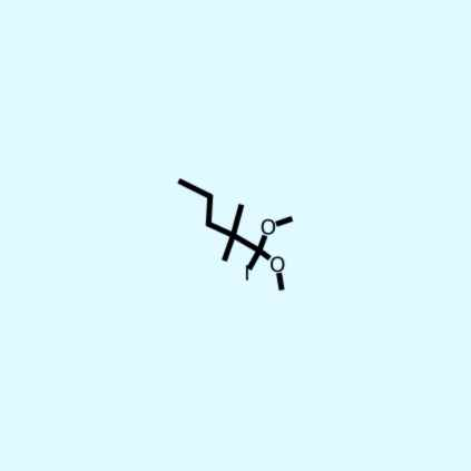 CCCC(C)(C)C(I)(OC)OC